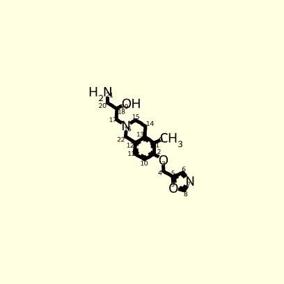 Cc1c(OCc2cnco2)ccc2c1CCN(CC(O)CN)C2